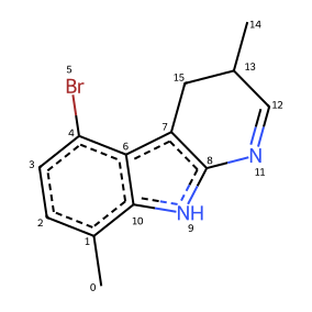 Cc1ccc(Br)c2c3c([nH]c12)N=CC(C)C3